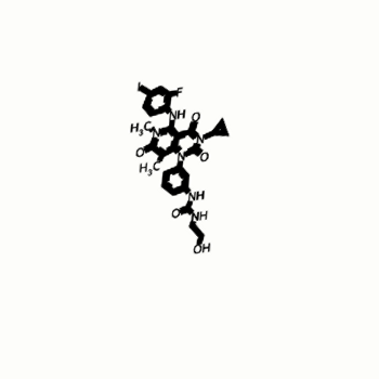 Cc1c(=O)n(C)c(Nc2ccc(I)cc2F)c2c(=O)n(C3CC3)c(=O)n(-c3cccc(NC(=O)NCCO)c3)c12